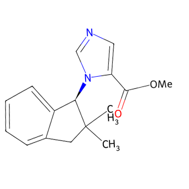 COC(=O)c1cncn1[C@@H]1c2ccccc2CC1(C)C